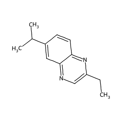 CCc1cnc2cc(C(C)C)ccc2n1